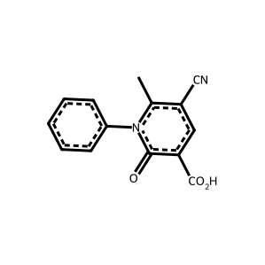 Cc1c(C#N)cc(C(=O)O)c(=O)n1-c1ccccc1